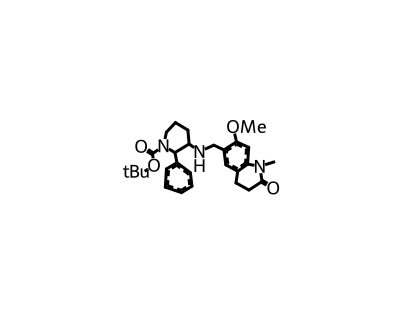 COc1cc2c(cc1CNC1CCCN(C(=O)OC(C)(C)C)C1c1ccccc1)CCC(=O)N2C